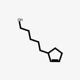 OCCCCCC1C=CCC1